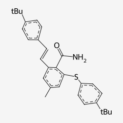 Cc1cc(/C=C/c2ccc(C(C)(C)C)cc2)c(C(N)=O)c(Sc2ccc(C(C)(C)C)cc2)c1